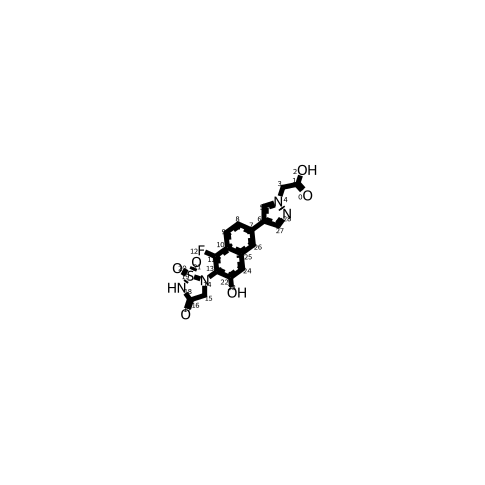 O=C(O)Cn1cc(-c2ccc3c(F)c(N4CC(=O)NS4(=O)=O)c(O)cc3c2)cn1